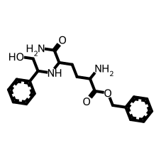 NC(=O)C(CCC(N)C(=O)OCc1ccccc1)NC(CO)c1ccccc1